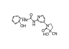 N#C[C@@]1(O)CCN(c2ccnc(NC(=O)NCc3ccccc3O)c2)C1=O